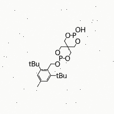 Cc1cc(C(C)(C)C)c(COP2OCC3(COP(O)OC3)CO2)c(C(C)(C)C)c1